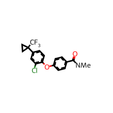 CNC(=O)c1ccc(Oc2ccc(C3(C(F)(F)F)CC3)cc2Cl)cc1